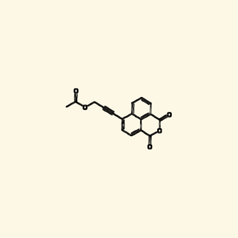 CC(=O)OCC#Cc1ccc2c3c(cccc13)C(=O)OC2=O